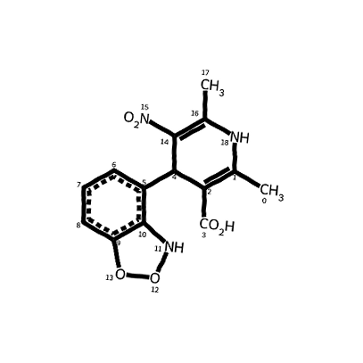 CC1=C(C(=O)O)C(c2cccc3c2NOO3)C([N+](=O)[O-])=C(C)N1